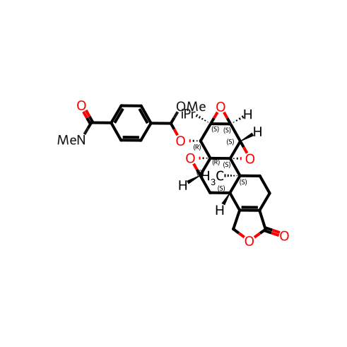 CNC(=O)c1ccc(C(OC)O[C@@H]2[C@@]3(C(C)C)O[C@H]3[C@@H]3O[C@]34[C@]23O[C@H]3C[C@H]2C3=C(CC[C@@]24C)C(=O)OC3)cc1